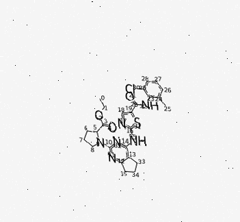 CCOC(=O)C1CCCN1c1nc2c(c(Nc3ncc(C(=O)Nc4c(C)cccc4Cl)s3)n1)CCC2